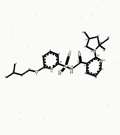 CC(C)CCOc1cccc(S(=O)(=O)NC(=O)c2cccnc2N2CC(C)CC2(C)C)n1